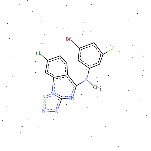 CN(c1cc(F)cc(Br)c1)c1nc2nnnn2c2cc(Cl)ccc12